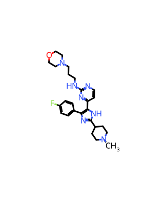 CN1CCC(c2nc(-c3ccc(F)cc3)c(-c3ccnc(NCCCN4CCOCC4)n3)[nH]2)CC1